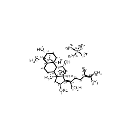 CC(=O)O[C@H]1C[C@@]2(C)[C@H](C[C@@H](O)[C@@H]3[C@@]4(C)CC[C@@H](O)[C@@H](C)C4CC[C@@]32C)C1=C(CCC(Br)=C(C)C)C(=O)O.CCC[N+](CCC)(CCC)CCC